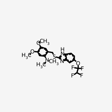 COc1cc(CSc2nc3cc(OC(F)(F)C(F)F)ccc3[nH]2)c(N(C)C)cc1OC